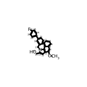 COc1cc2ccccc2c2c1cc(CO)n2Cc1cccc(-c2ccc(F)cc2)c1